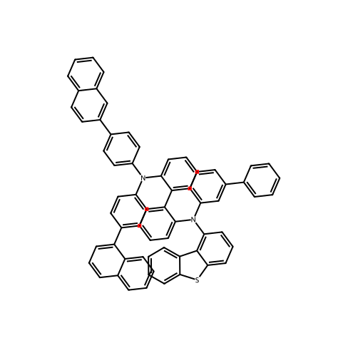 c1ccc(-c2cccc(N(c3ccccc3-c3ccccc3N(c3ccc(-c4ccc5ccccc5c4)cc3)c3ccc(-c4cccc5ccccc45)cc3)c3cccc4sc5ccccc5c34)c2)cc1